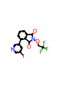 O=C1c2cccc(-c3cncc(I)c3)c2C(=O)N1OCC(F)(F)F